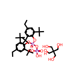 CCc1cc(C(C)(C)C)c(OP(=O)(Oc2c(C(C)(C)C)cc(CC)cc2C(C)(C)C)OP(=O)(O)O)c(C(C)(C)C)c1.OCC(CO)(CO)CO